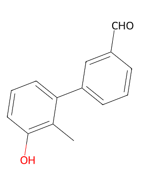 Cc1c(O)cccc1-c1cccc(C=O)c1